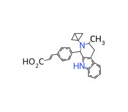 CC1Cc2c([nH]c3ccccc23)C(c2ccc(/C=C/C(=O)O)cc2)N1C12CC1C2